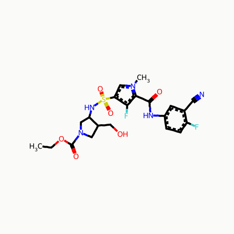 CCOC(=O)N1CC(CO)C(NS(=O)(=O)c2cn(C)c(C(=O)Nc3ccc(F)c(C#N)c3)c2F)C1